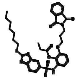 CCCCCCCSc1nc2ccc(S(=O)(=O)Nc3cccc(OCCCN4C(=O)c5ccccc5C4=O)c3OC(=O)CC)cc2s1